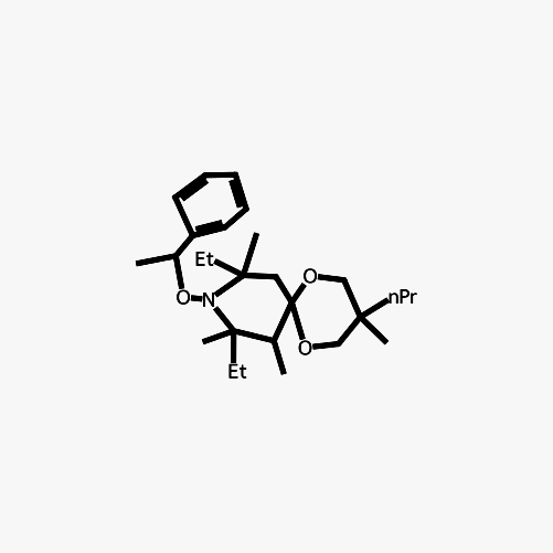 CCCC1(C)COC2(CC(C)(CC)N(OC(C)c3ccccc3)C(C)(CC)C2C)OC1